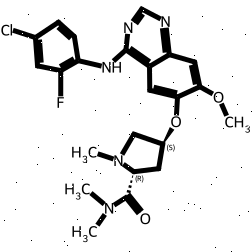 COc1cc2ncnc(Nc3ccc(Cl)cc3F)c2cc1O[C@H]1C[C@H](C(=O)N(C)C)N(C)C1